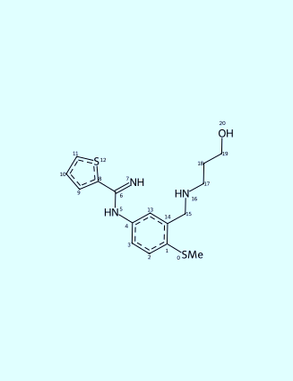 CSc1ccc(NC(=N)c2cccs2)cc1CNCCCO